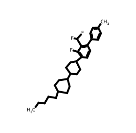 CCCCCC1CCC(C2CCC(c3ccc(-c4ccc(C)cc4)c(C(F)F)c3F)CC2)CC1